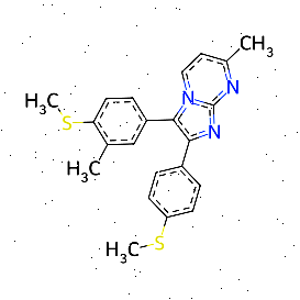 CSc1ccc(-c2nc3nc(C)ccn3c2-c2ccc(SC)c(C)c2)cc1